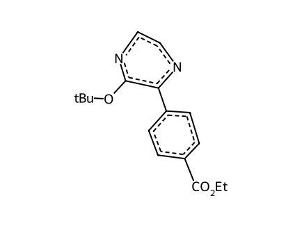 CCOC(=O)c1ccc(-c2nccnc2OC(C)(C)C)cc1